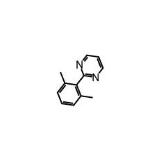 Cc1cccc(C)c1-c1ncccn1